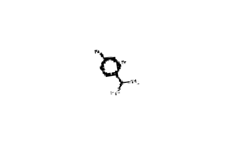 Br.CC(N)c1ccc(Br)cc1